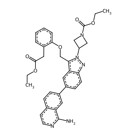 CCOC(=O)Cc1ccccc1OCc1c2cc(-c3ccc4ccnc(N)c4c3)ccc2nn1C1CN(C(=O)OCC)C1